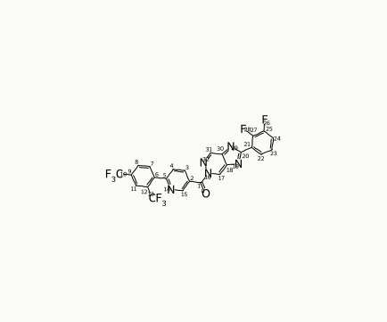 O=C(c1ccc(-c2ccc(C(F)(F)F)cc2C(F)(F)F)nc1)n1cc2nc(-c3cccc(F)c3F)nc-2cn1